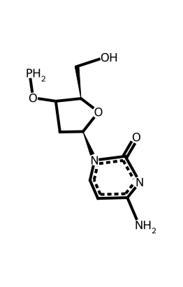 Nc1ccn([C@H]2CC(OP)[C@@H](CO)O2)c(=O)n1